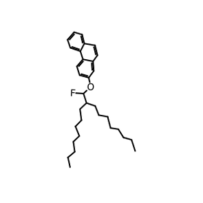 CCCCCCCCC(CCCCCCCC)C(F)Oc1ccc2c(ccc3ccccc32)c1